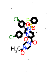 CC(=O)N1CCN(C(=O)c2ccc3n(c2=O)[C@H](c2ccc(Cl)cc2)[C@H](c2ccc(Cl)cc2)N3S(=O)(=O)c2ccccc2F)CC1